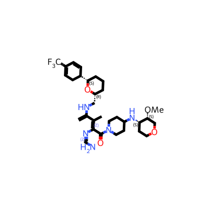 C=C(NC[C@H]1CCC[C@@H](C2C=CC(C(F)(F)F)=CC2)O1)/C(C)=C(\N=C/N)C(=O)N1CCC(N[C@H]2CCOC[C@H]2OC)CC1